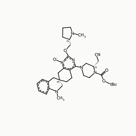 CN1C[C@]2(CCc3c(N4CCN(C(=O)OC(C)(C)C)[C@@H](CC#N)C4)nc(OC[C@@H]4CCCN4C)[n+]([O-])c3C2)Cc2ccccc21